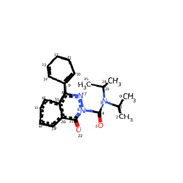 CC(C)N(C(=O)n1nc(C2=CCCC=C2)c2ccccc2c1=O)C(C)C